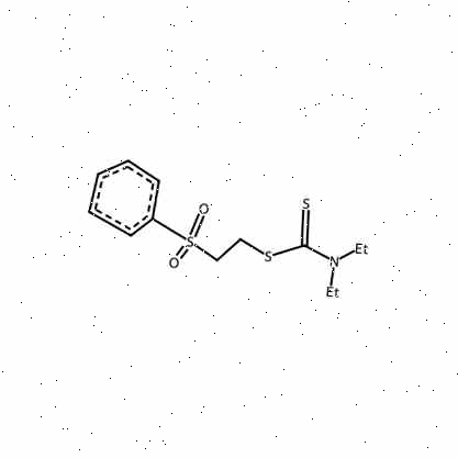 CCN(CC)C(=S)SCCS(=O)(=O)c1ccccc1